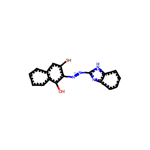 Oc1c(/N=N/c2nc3ccccc3[nH]2)c(S)cc2ccccc12